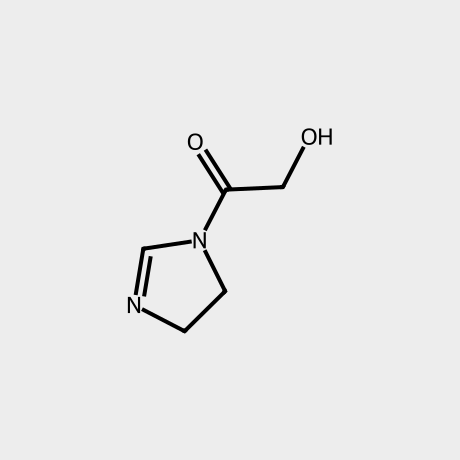 O=C(CO)N1C=NCC1